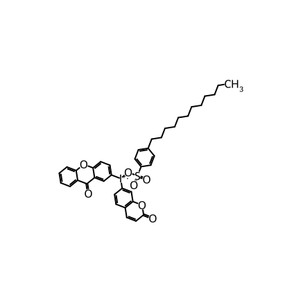 CCCCCCCCCCCCc1ccc(S(=O)(=O)O[I+](c2ccc3ccc(=O)oc3c2)c2ccc3oc4ccccc4c(=O)c3c2)cc1